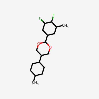 CC1CCC(C2COC(C3CC(C)C(F)C(F)C3)OC2)CC1